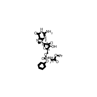 CC(C)OC(=O)[C@H](C)N[P@@](=O)(OC[C@H]1O[C@@H](n2cnc3c(=O)[nH]c(N)nc32)[C@@](F)(Cl)[C@@H]1O)Oc1ccccc1